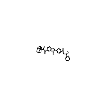 O=C(CNc1ccc(-c2cc3ccc(NC(=O)C45CC6CC(CC(C6)C4)C5)cc3[nH]2)cc1)c1ccccn1